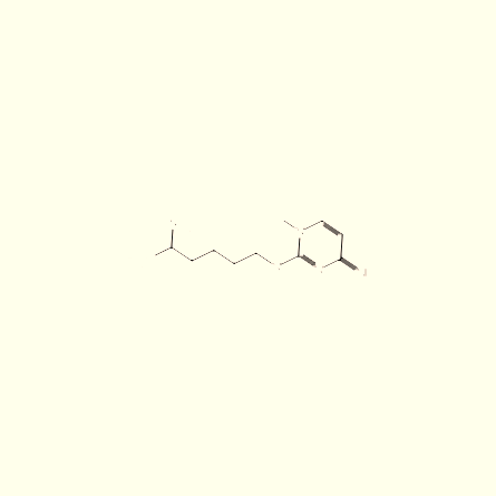 CCn1ccc(=N)nc1NCCCCC(N)C(=O)O